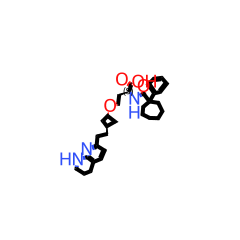 O=C(O)[C@H](CCO[C@H]1C[C@H](CCc2ccc3c(n2)NCCC3)C1)NC(=O)C1(c2ccccc2)CCCCCC1